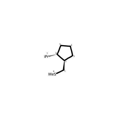 CSC[C@@H]1CCC[C@H]1C(C)C